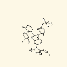 Cc1noc(C)c1-c1ccc2c(c1)nc(C1CCCC(=O)N1c1ccc(F)c(F)c1)n2-c1nc(CS(C)(=O)=O)cs1